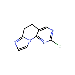 Clc1ncc2c(n1)-n1ccnc1CC2